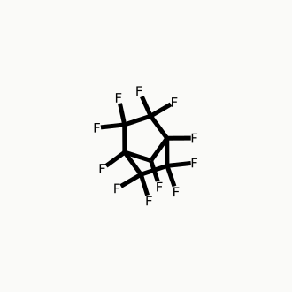 FC1C2(F)C(F)(F)C(F)(F)C1(F)C(F)(F)C2(F)F